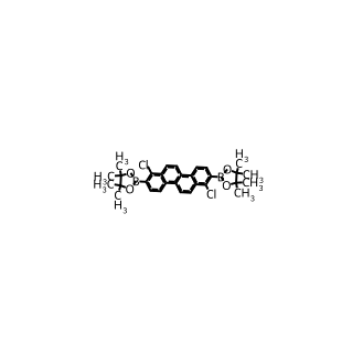 CC1(C)OB(c2ccc3c(ccc4c5ccc(B6OC(C)(C)C(C)(C)O6)c(Cl)c5ccc34)c2Cl)OC1(C)C